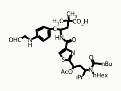 CCCCCCN(C(=O)CCCC)C(CC(OC(C)=O)c1nc(C(=O)NC(Cc2ccc(NCC=O)cc2)CC(C)(C)C(=O)O)cs1)C(C)C